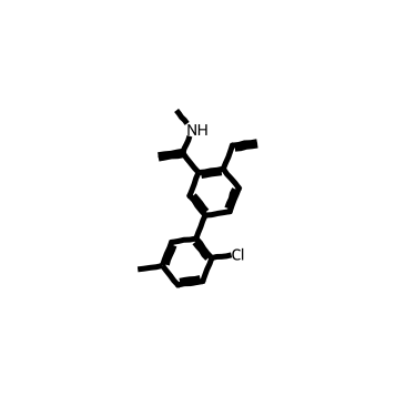 C=Cc1ccc(-c2cc(C)ccc2Cl)cc1C(=C)NC